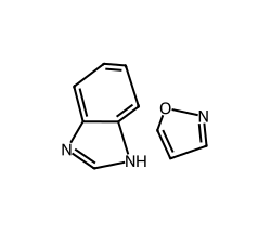 c1ccc2[nH]cnc2c1.c1cnoc1